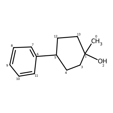 CC1(O)CCC(c2ccccc2)CC1